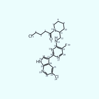 O=C(CCCCl)N1CCCCC1CNc1nc(-c2c[nH]c3ncc(Cl)cc23)ncc1F